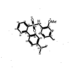 COc1nc(C)cnc1NS(=O)(=O)c1cccnc1-c1ccc(N(C)C)cc1